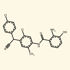 Cc1cc(C(C#N)c2ccc(Cl)cc2)c(Cl)cc1NC(=O)c1cccc(O)c1N